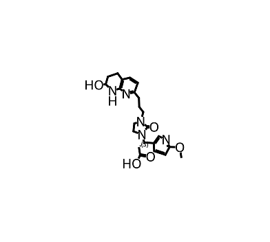 COc1ccc([C@H](CC(=O)O)N2CCN(CCCc3ccc4c(n3)NC(O)CC4)C2=O)cn1